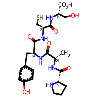 C[C@H](NC(=O)[C@@H]1CCCN1)C(=O)N[C@@H](Cc1ccc(O)cc1)C(=O)N[C@@H](CS)C(=O)N[C@@H](CO)C(=O)O